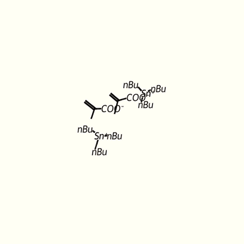 C=C(C)C(=O)[O-].C=C(C)C(=O)[O-].CCC[CH2][Sn+]([CH2]CCC)[CH2]CCC.CCC[CH2][Sn+]([CH2]CCC)[CH2]CCC